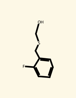 OCSCc1ccccc1F